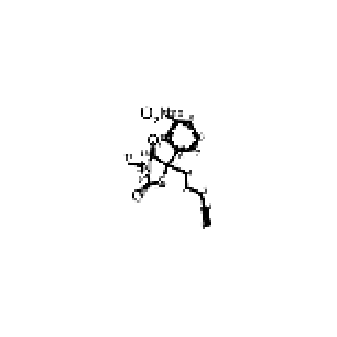 C#CCCCC1(c2cccc([N+](=O)[O-])c2)SC(=O)N(C)C1=O